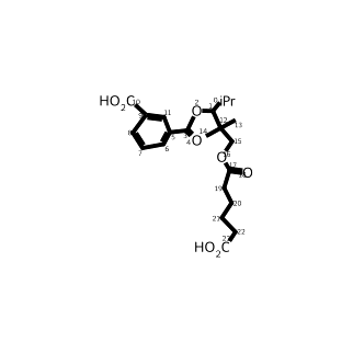 CC(C)C(OC(=O)c1cccc(C(=O)O)c1)C(C)(C)COC(=O)CCCCC(=O)O